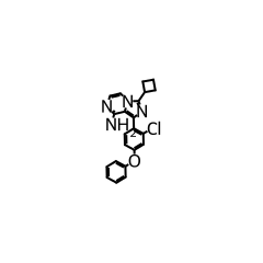 Nc1nccn2c(C3CCC3)nc(-c3ccc(Oc4ccccc4)cc3Cl)c12